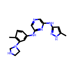 Cc1cc(Nc2cncc(Nc3ccc(C)c(N4CCNC4)c3)n2)n[nH]1